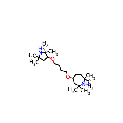 CC1(C)CCC(OCCCCOC2CC(C)(C)NC2(C)C)CC(C)(C)N1